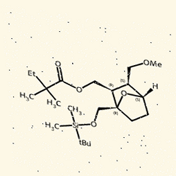 CCC(C)(C)C(=O)OC[C@H]1[C@@H](COC)[C@@H]2CC[C@@]1(CO[Si](C)(C)C(C)(C)C)O2